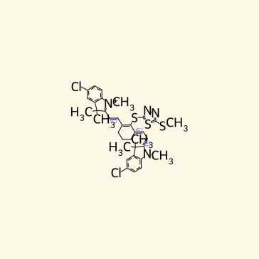 CSc1nnc(SC2=C(/C=C/C3=[N+](C)c4ccc(Cl)cc4C3(C)C)CCC/C2=C\C=C2\N(C)c3ccc(Cl)cc3C2(C)C)s1